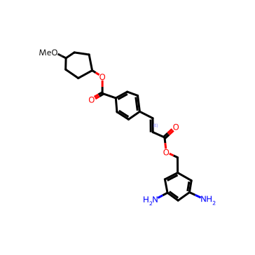 COC1CCC(OC(=O)c2ccc(/C=C/C(=O)OCc3cc(N)cc(N)c3)cc2)CC1